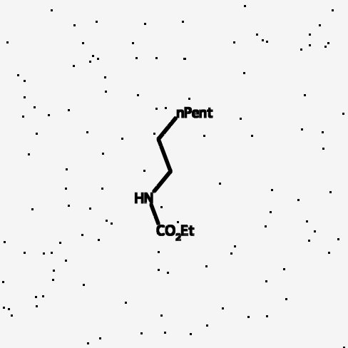 [CH2]COC(=O)NCCCCCCC